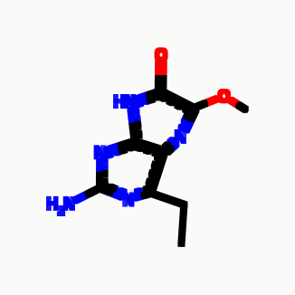 CCc1nc(N)nc2[nH]c(=O)c(OC)nc12